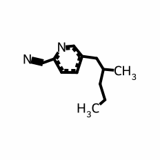 CCCC(C)Cc1ccc(C#N)nc1